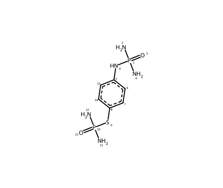 NP(N)(=O)Nc1ccc(SP(N)(N)=O)cc1